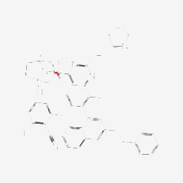 CN1CCC[C@H]1COc1nc(N2C[C@H]3CC[C@@H](C2)N3C(=O)O)c2cc(Oc3cccc(F)c3C#N)c(-c3cc(OCc4ccccc4)cc4ccccc34)c(F)c2n1